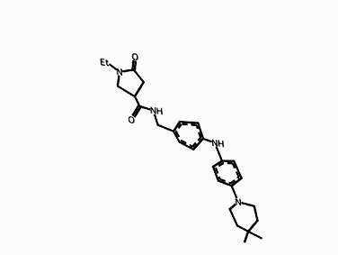 CCN1CC(C(=O)NCc2ccc(Nc3ccc(N4CCC(C)(C)CC4)cc3)cc2)CC1=O